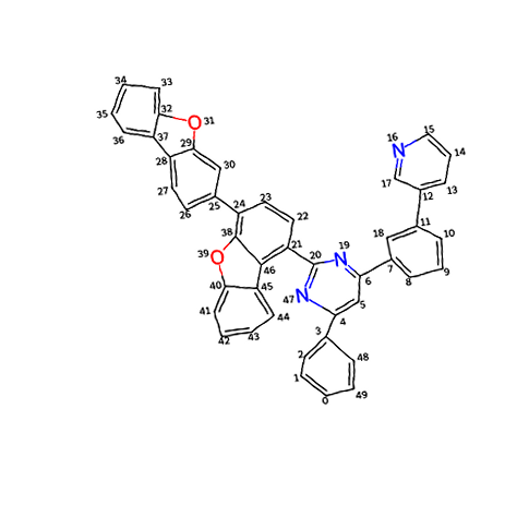 c1ccc(-c2cc(-c3cccc(-c4cccnc4)c3)nc(-c3ccc(-c4ccc5c(c4)oc4ccccc45)c4oc5ccccc5c34)n2)cc1